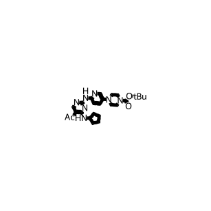 CC(=O)c1cnc(Nc2ccc(N3CCN(C(=O)OC(C)(C)C)CC3)cn2)nc1NC1CCCC1